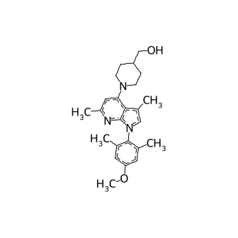 COc1cc(C)c(-n2cc(C)c3c(N4CCC(CO)CC4)cc(C)nc32)c(C)c1